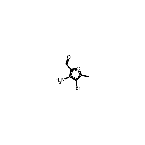 Cc1oc(C=O)c(N)c1Br